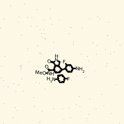 CONC(=O)c1ccc(-c2ccc(N)cc2F)c2c1C(=O)NC2.Nc1ccc(F)cc1